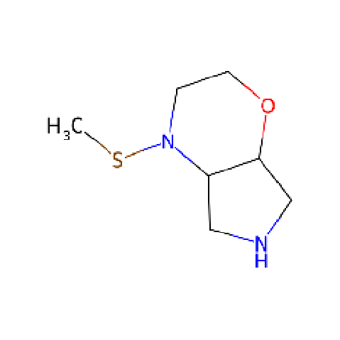 CSN1CCOC2CNCC21